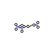 C(=C\c1ccc(N(c2ccccc2)c2ccccc2)cc1)/c1ccc(-c2cc3ccc4cc(N(c5ccccc5)c5ccccc5)cc5c4c3c(c2)n5-c2ccccc2)cc1